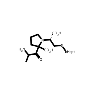 CCCCCCCSC[C@@H](C(=O)O)N1CCCC1(C(=O)O)C(=O)C(C)N